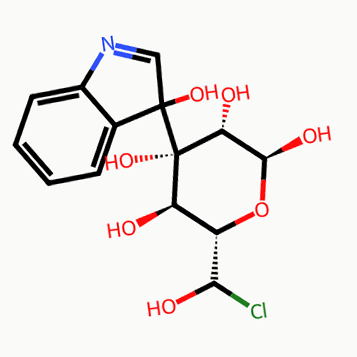 OC(Cl)[C@H]1O[C@H](O)[C@@H](O)[C@](O)(C2(O)C=Nc3ccccc32)[C@@H]1O